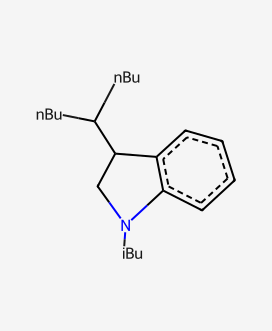 CCCCC(CCCC)C1CN(C(C)CC)c2ccccc21